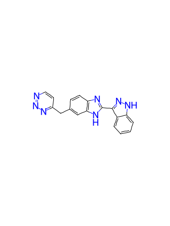 c1ccc2c(-c3nc4ccc(Cc5ccnnn5)cc4[nH]3)n[nH]c2c1